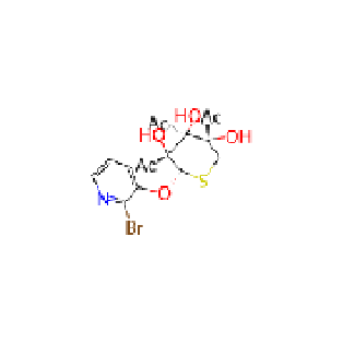 CC(=O)[C@]1(O)[C@@](O)(C(C)=O)CS[C@H](Oc2cccnc2Br)[C@@]1(O)C(C)=O